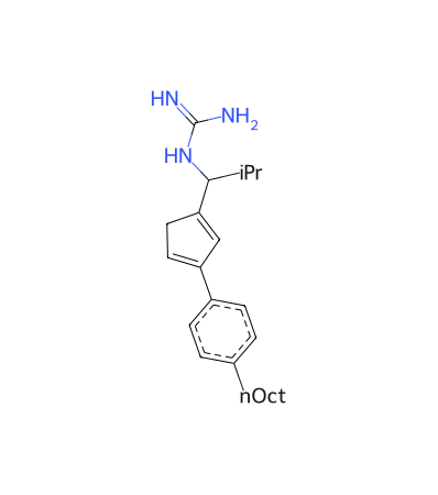 CCCCCCCCc1ccc(C2=CCC(C(NC(=N)N)C(C)C)=C2)cc1